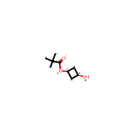 CC(C)(C)C(=O)O[C@H]1C[C@@H](O)C1